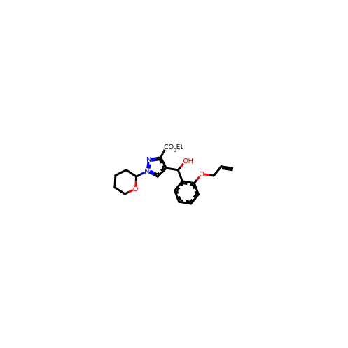 C=CCOc1ccccc1C(O)c1cn(C2CCCCO2)nc1C(=O)OCC